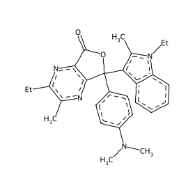 CCc1nc2c(nc1C)C(c1ccc(N(C)C)cc1)(c1c(C)n(CC)c3ccccc13)OC2=O